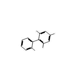 [CH2]c1ccccc1-c1c(C)cc(C)cc1C